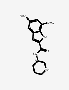 COc1cc(OC)c2[nH]c(C(=O)N[C@@H]3CCCNC3)cc2c1